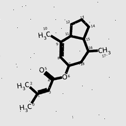 CC(C)=CC(=O)OC1C=C(C)C2CCCC2C(C)C1